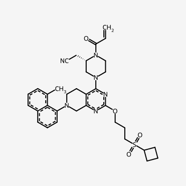 C=CC(=O)N1CCN(c2nc(OCCCS(=O)(=O)C3CCC3)nc3c2CCN(c2cccc4cccc(C)c24)C3)C[C@@H]1CC#N